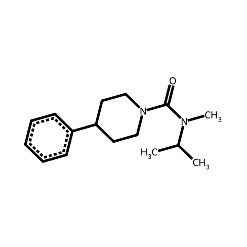 CC(C)N(C)C(=O)N1CCC(c2ccccc2)CC1